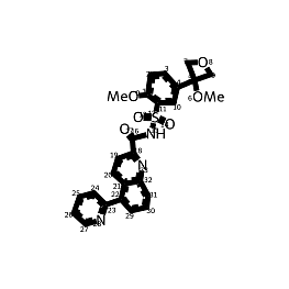 COc1ccc(C2(OC)COC2)cc1S(=O)(=O)NC(=O)c1ccc2c(-c3ccccn3)cccc2n1